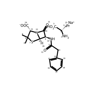 CC(C)[C@H](N)C(=O)O.CC1(C)S[C@@H]2[C@H](NC(=O)Cc3ccccc3)C(=O)N2[C@H]1C(=O)[O-].[Na+]